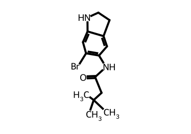 CC(C)(C)CC(=O)Nc1cc2c(cc1Br)NCC2